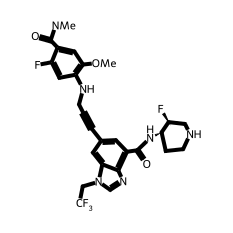 CNC(=O)c1cc(OC)c(NCC#Cc2cc(C(=O)N[C@H]3CCNC[C@@H]3F)c3ncn(CC(F)(F)F)c3c2)cc1F